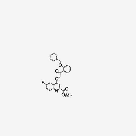 COC(=O)c1cc(OCC(=O)c2ccccc2OCc2ccccc2)c2cc(F)ccc2n1